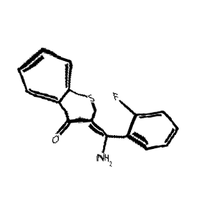 NC(=C1Sc2ccccc2C1=O)c1ccccc1F